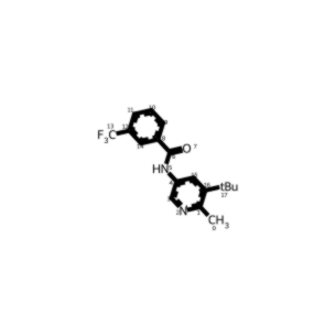 Cc1ncc(NC(=O)c2cccc(C(F)(F)F)c2)cc1C(C)(C)C